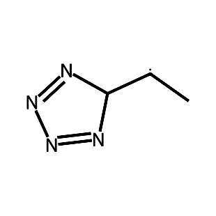 C[CH]C1N=NN=N1